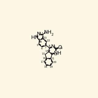 Nc1n[nH]c2ccc(-c3nc(=O)[nH]c4c3Cc3ccccc3-4)cc12